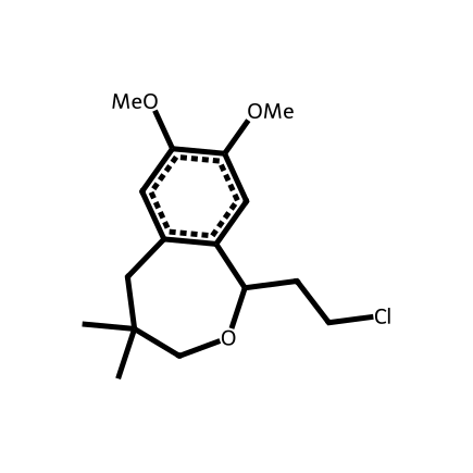 COc1cc2c(cc1OC)C(CCCl)OCC(C)(C)C2